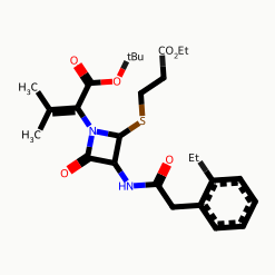 CCOC(=O)CCSC1C(NC(=O)Cc2ccccc2CC)C(=O)N1C(C(=O)OC(C)(C)C)=C(C)C